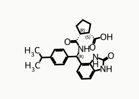 CC(C)c1ccc([C@@H](NC(=O)[C@@H]2CCC[C@@H]2C(=O)O)c2cccc3[nH]c(=O)[nH]c23)cc1